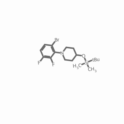 CC(C)(C)[Si](C)(C)OC1CCN(c2c(Br)ccc(F)c2F)CC1